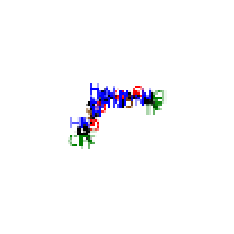 CC(NC(=O)c1cc(C(=O)NC(C)c2ncc(C(=O)Nc3cc(C(F)(F)F)c(Cl)cn3)s2)ncn1)c1ncc(C(=O)Nc2ccc(Cl)c(C(F)(F)F)c2)s1